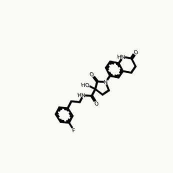 O=C1CCc2cc(N3CCC(O)(C(=O)NCCc4cccc(F)c4)C3=O)ccc2N1